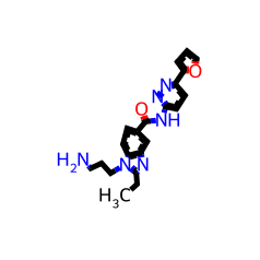 CCc1nc2cc(C(=O)Nc3ccc(-c4ccco4)nn3)ccc2n1CCCN